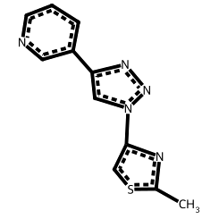 Cc1nc(-n2cc(-c3cccnc3)nn2)cs1